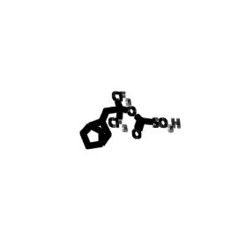 O=C(OC(CC1CC2CCC1C2)(C(F)(F)F)C(F)(F)F)S(=O)(=O)O